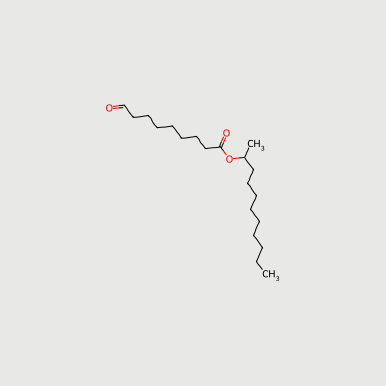 CCCCCCCCCC(C)OC(=O)CCCCCCCC=O